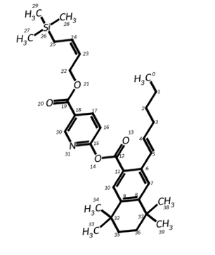 CCCC/C=C/c1cc2c(cc1C(=O)Oc1ccc(C(=O)OC/C=C\C[Si](C)(C)C)cn1)C(C)(C)CCC2(C)C